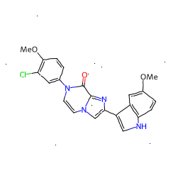 COc1ccc2[nH]cc(-c3cn4ccn(-c5ccc(OC)c(Cl)c5)c(=O)c4n3)c2c1